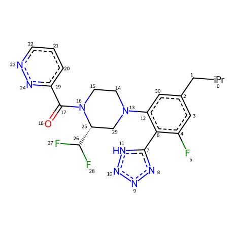 CC(C)Cc1cc(F)c(-c2nnn[nH]2)c(N2CCN(C(=O)c3cccnn3)[C@@H](C(F)F)C2)c1